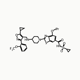 CC(C)Oc1cc(C(=O)NS(=O)(=O)C2CC2)cc2sc(N3CCC(NCc4c(-c5ccccc5OC(F)(F)F)noc4C4CC4)CC3)nc12